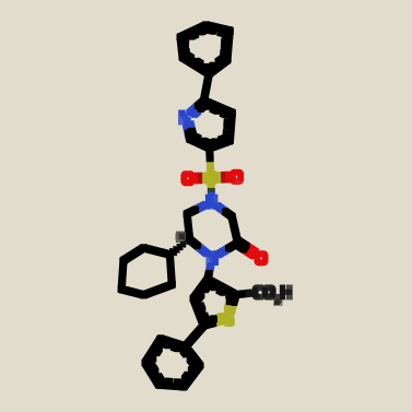 O=C(O)c1sc(-c2ccccc2)cc1N1C(=O)CN(S(=O)(=O)c2ccc(-c3ccccc3)nc2)C[C@H]1C1CCCCC1